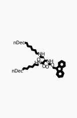 CCCCCCCCCCCCCCCCNC(=O)C[C@H](NC(=O)OCC1c2ccccc2-c2ccccc21)C(=O)NCCCCCCCCCCCCCCCC